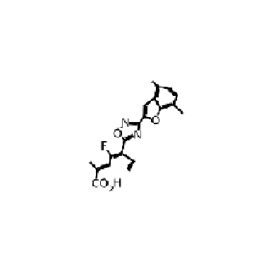 C=C/C(=C(F)\C=C(/C)C(=O)O)c1nc(-c2cc3c(C)ccc(C)c3o2)no1